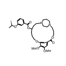 COc1cc2cc(c1OC)OCCCC(OC(=O)c1cccc(OC(C)I)c1)CCN1CCCN(CCCOC2=O)CC1